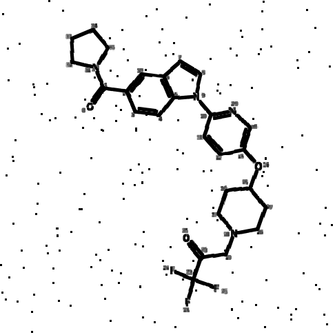 O=C(c1ccc2c(ccn2-c2ccc(OC3CCN(CC(=O)C(F)(F)F)CC3)cn2)c1)N1CCCC1